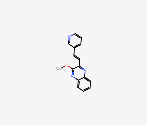 CC(C)(C)Oc1nc2ccccc2nc1/C=C/c1cccnc1